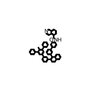 Cc1c(-c2ccccc2)cc(-c2cccc(-c3ccc4ccccc4c3-c3cccc(-c4ccc5c(c4)OC(c4cccc6cnccc46)N5)c3)c2)cc1-c1ccccc1